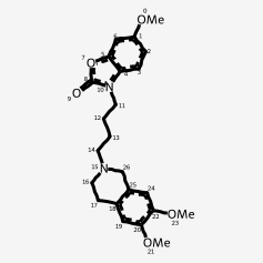 COc1ccc2c(c1)oc(=O)n2CCCCN1CCc2cc(OC)c(OC)cc2C1